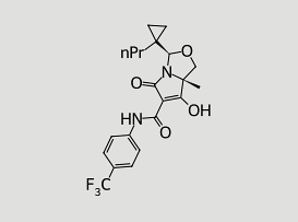 CCCC1([C@H]2OC[C@]3(C)C(O)=C(C(=O)Nc4ccc(C(F)(F)F)cc4)C(=O)N23)CC1